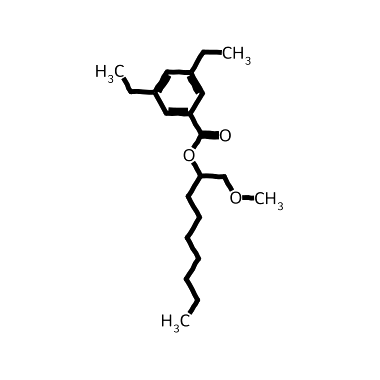 CCCCCCCC(COC)OC(=O)c1cc(CC)cc(CC)c1